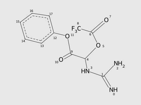 N=C(N)NC(OC(=O)C(F)(F)F)C(=O)Oc1ccccc1